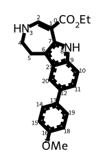 CCOC(=O)C1=CNCCc2c1[nH]c1ccc(-c3ccc(OC)cc3)cc21